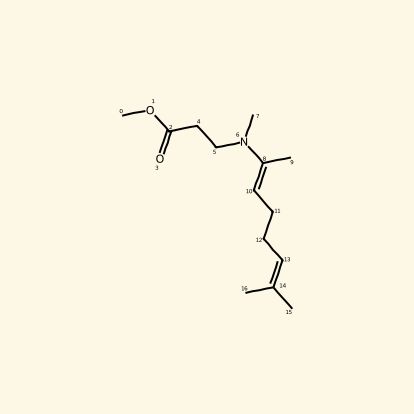 COC(=O)CCN(C)/C(C)=C/CCC=C(C)C